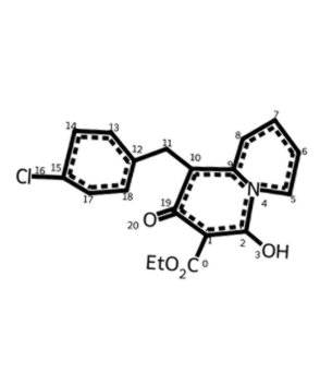 CCOC(=O)c1c(O)n2ccccc2c(Cc2ccc(Cl)cc2)c1=O